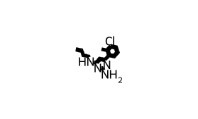 C=CCCNc1cc(-c2cccc(Cl)c2C)nc(N)n1